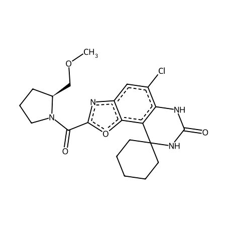 COC[C@@H]1CCCN1C(=O)c1nc2cc(Cl)c3c(c2o1)C1(CCCCC1)NC(=O)N3